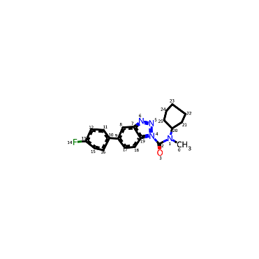 CN(C(=O)n1nnc2cc(-c3ccc(F)cc3)ccc21)C1CCCCC1